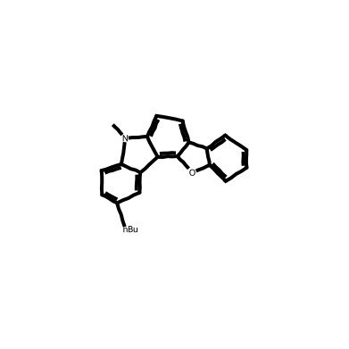 CCCCc1ccc2c(c1)c1c3oc4ccccc4c3ccc1n2C